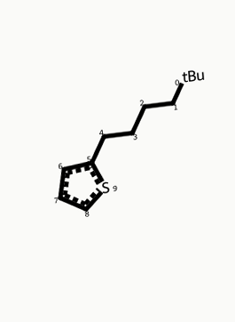 CC(C)(C)CCCCc1cccs1